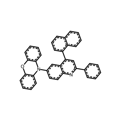 c1ccc(-c2cc(-c3cccc4ccccc34)c3cc(N4c5ccccc5Oc5ccccc54)ccc3n2)cc1